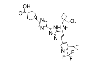 COCC1(CN(C)c2cc(-c3cnc(C(F)(F)F)c(C4CC4)c3)nc3nc(-c4cnc(N5CCC(C(=O)O)CC5)cn4)[nH]c23)CCC1